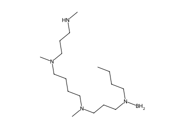 BN(CCCC)CCCN(C)CCCCN(C)CCCNC